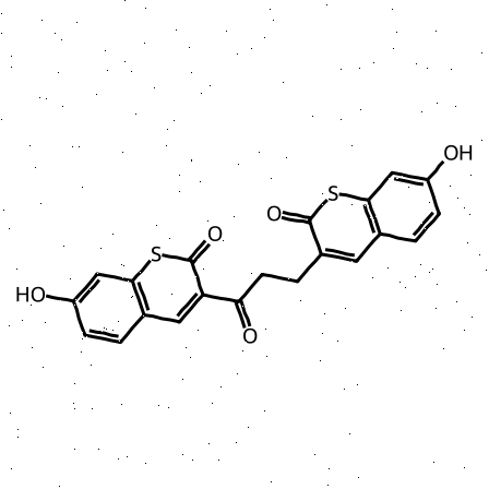 O=C(CCc1cc2ccc(O)cc2sc1=O)c1cc2ccc(O)cc2sc1=O